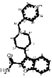 NC(=O)c1oc2ccccc2c1C1CCN(Cc2ccncc2)CC1